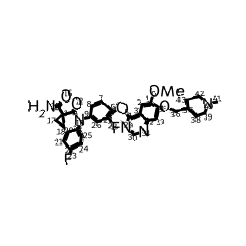 COc1cc2c(Oc3ccc(N(C(=O)C4(C(N)=O)CC4)c4ccc(F)cc4)cc3F)ncnc2cc1OCC1CCN(C)CC1